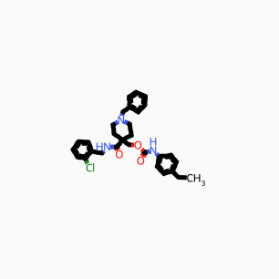 CCc1ccc(NC(=O)OCC2(C(=O)NCc3ccccc3Cl)CCN(Cc3ccccc3)CC2)cc1